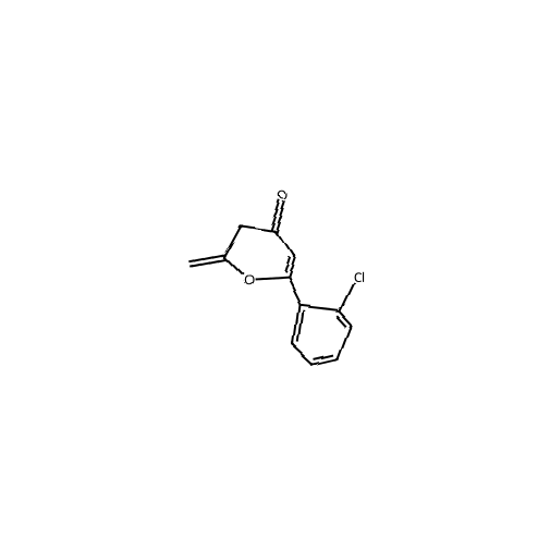 C=C1CC(=O)C=C(c2ccccc2Cl)O1